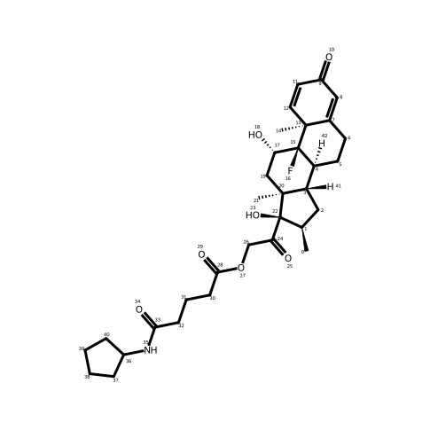 C[C@@H]1C[C@H]2[C@@H]3CCC4=CC(=O)C=C[C@]4(C)[C@@]3(F)[C@@H](O)C[C@]2(C)[C@@]1(O)C(=O)COC(=O)CCCC(=O)NC1CCCC1